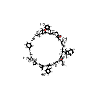 CCC1NC(=O)[C@](C)(C(C)C)NC(=O)[C@H](Cc2ccc(O)cc2)NC(=O)[C@H](C)NC(=O)[C@](C)(CCCN)NC(=O)[C@H](Cc2c[nH]c3ncccc23)NC(=O)[C@H]([C@@H](C)O)NC(=O)[C@@H]2CCCN2C(=O)[C@H](Cc2ccc(O)cc2)NC(=O)C(C(C)(C)C)NC(=O)CCSCc2cccc(c2)CSC[C@H](C(N)=O)NC1=O